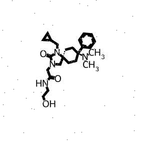 CN(C)[C@]1(c2ccccc2)CC[C@]2(CC1)CN(CC(=O)NCCO)C(=O)N2CC1CC1